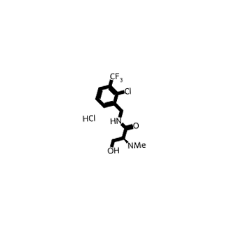 CN[C@@H](CO)C(=O)NCc1cccc(C(F)(F)F)c1Cl.Cl